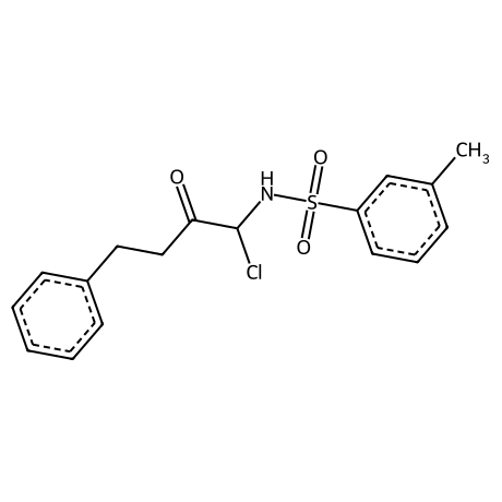 Cc1cccc(S(=O)(=O)NC(Cl)C(=O)CCc2ccccc2)c1